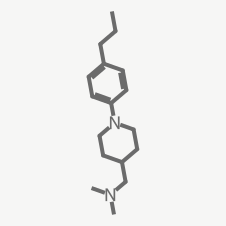 CCCc1ccc(N2CCC(CN(C)C)CC2)cc1